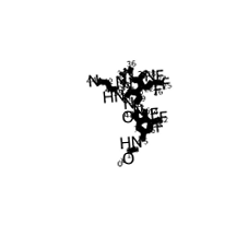 COCCNCc1cc2c(c(C(F)(F)F)c1)CN(c1cc(-c3cc(C(F)(F)F)ncc3-c3nncn3C)cc(NCCCC#N)n1)C2=O